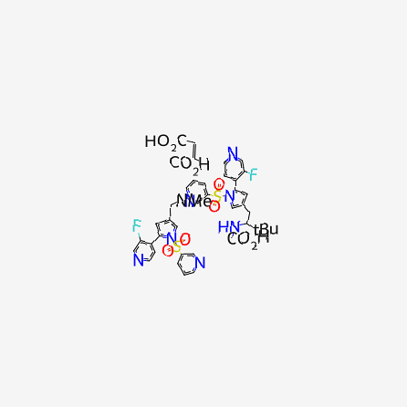 CC(C)(C)C(Cc1cc(-c2ccncc2F)n(S(=O)(=O)c2cccnc2)c1)NC(=O)O.CNCc1cc(-c2ccncc2F)n(S(=O)(=O)c2cccnc2)c1.O=C(O)C=CC(=O)O